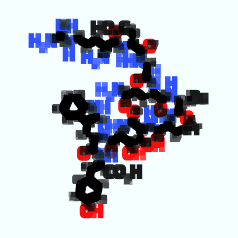 CC[C@H](C)[C@H](NC(=O)[C@H](CCC(N)=O)NC(=O)CNC(=O)[C@H](CC(=O)O)NC(=O)[C@@H](N)CCCNC(=N)N)C(=O)N[C@@H](CC(C)C)C(=O)N[C@@H](CO)C(=O)N[C@H](C(=O)N[C@@H](Cc1c[nH]c2ccccc12)C(=O)N[C@@H](Cc1ccc(O)cc1)C(=O)O)[C@@H](C)O